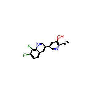 CC(C)c1ncc(-c2cnc3c(F)c(F)ccc3c2)cc1O